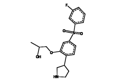 CC(O)COc1cc(S(=O)(=O)c2cccc(F)c2)ccc1C1CCNC1